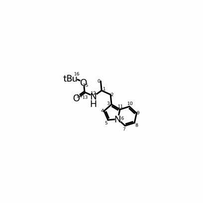 CC(Cc1ccn2ccccc12)NC(=O)OC(C)(C)C